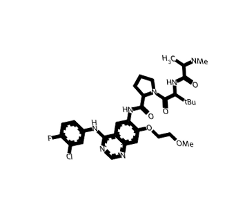 CNC(C)C(=O)NC(C(=O)N1CCCC1C(=O)Nc1cc2c(Nc3ccc(F)c(Cl)c3)ncnc2cc1OCCOC)C(C)(C)C